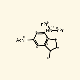 CC(=O)Nc1ccc2c(c1)C(C)CC2.CCCNCCC